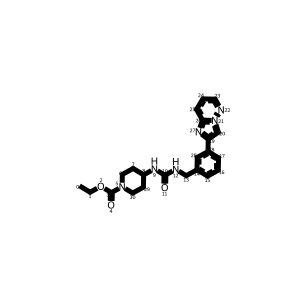 CCOC(=O)N1CCC(NC(=O)NCc2cccc(-c3cn4ncccc4n3)c2)CC1